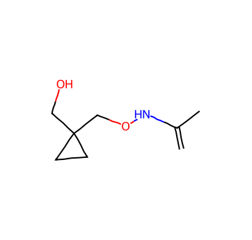 C=C(C)NOCC1(CO)CC1